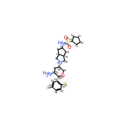 N[C@H]1C[C@@H](N2CC3CC(NS(=O)(=O)C4CCCC4)CC3C2)CO[C@@H]1c1cc(F)ccc1F